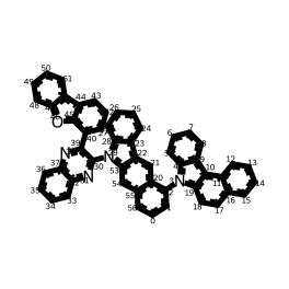 c1cc(-n2c3ccccc3c3c4ccccc4ccc32)c2cc3c4ccccc4n(-c4nc5ccccc5nc4-c4cccc5c4oc4ccccc45)c3cc2c1